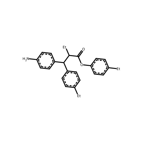 CCc1ccc(OC(=O)C(CC)C(c2ccc(N)cc2)c2ccc(CC)cc2)cc1